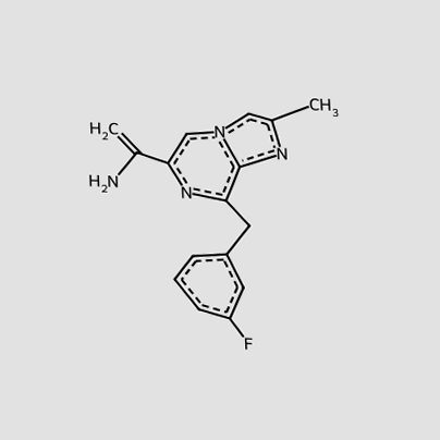 C=C(N)c1cn2cc(C)nc2c(Cc2cccc(F)c2)n1